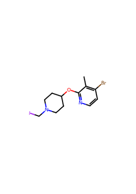 Cc1c(Br)ccnc1OC1CCN(CI)CC1